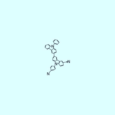 N#Cc1ccc(-n2c3ccc(C#N)cc3c3cc(-c4ccc5c(c4)c4ccccc4n5-c4ccccc4)ccc32)cc1